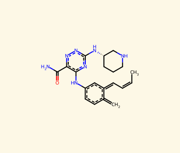 C=c1ccc(Nc2nc(N[C@H]3CCCNC3)nnc2C(N)=O)c/c1=C/C=C\C